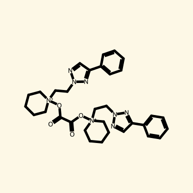 O=C(O[N+]1(CCn2ncc(-c3ccccc3)n2)CCCCC1)C(=O)O[N+]1(CCn2ncc(-c3ccccc3)n2)CCCCC1